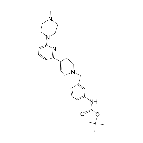 CN1CCN(c2cccc(C3=CCN(Cc4cccc(NC(=O)OC(C)(C)C)c4)CC3)n2)CC1